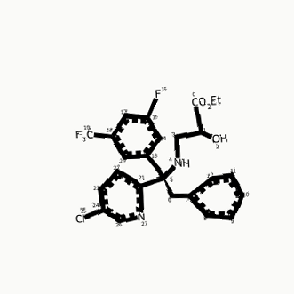 CCOC(=O)C(O)CN[C@@](Cc1ccccc1)(c1cc(F)cc(C(F)(F)F)c1)c1ccc(Cl)cn1